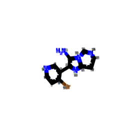 Nc1c(-c2cnccc2Br)nc2ccncn12